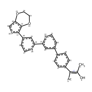 CC(=O)/C(=C(/C)O)c1ccc(-c2ccnc(-c3cc(-c4scc5c4OCCO5)ccn3)c2)cc1